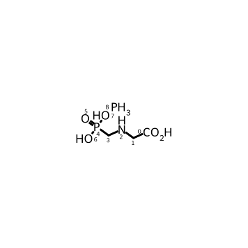 O=C(O)CNCP(=O)(O)O.P